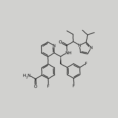 CCC(C(=O)N[C@@H](Cc1cc(F)cc(F)c1)c1ncccc1-c1ccc(F)c(C(N)=O)c1)n1ccnc1C(C)C